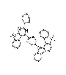 CC1(C)c2ccccc2-c2c1ccc1c3ccccc3n(-c3ccc(-c4nc(-c5ccccc5)nc5c4-c4ccccc4[Si]5(C)C)cc3)c21